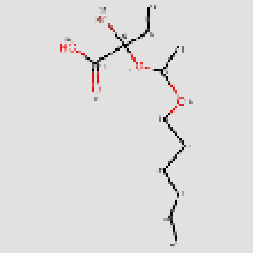 CCCCCCOC(C)OC(Br)(CC)C(=O)O